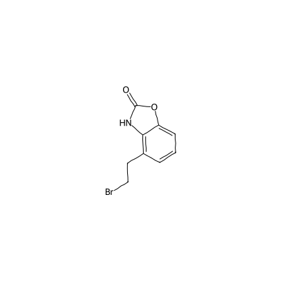 O=c1[nH]c2c(CCBr)cccc2o1